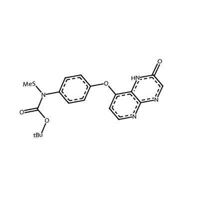 CSN(C(=O)OC(C)(C)C)c1ccc(Oc2ccnc3ncc(=O)[nH]c23)cc1